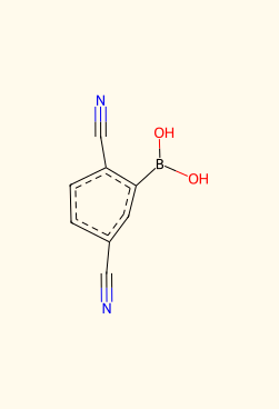 N#Cc1ccc(C#N)c(B(O)O)c1